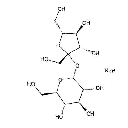 OC[C@H]1O[C@@](CO)(O[C@H]2O[C@H](CO)[C@@H](O)[C@H](O)[C@H]2O)[C@@H](O)[C@@H]1O.[NaH]